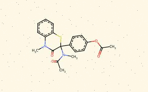 CC(=O)Oc1ccc(C2(N(C)C(C)=O)Sc3ccccc3N(C)C2=O)cc1